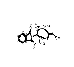 CC(=O)OCC1O[C@H](OC(C)=O)C(N2C(=O)c3ccccc3C2=O)[C@@H](OC(C)=O)[C@@H]1OC(C)=O